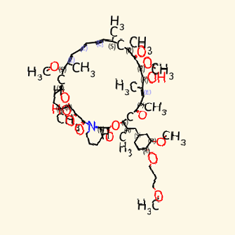 COCCCO[C@@H]1CC[C@@H](C[C@@H](C)[C@@H]2CC(=O)[C@H](C)/C=C(\C)[C@@H](O)[C@@H](OC)C(=O)[C@H](C)C[C@H](C)/C=C/C=C/C=C(\C)[C@@H](OC)C[C@@H]3CC[C@@H](C)[C@@](O)(O3)C(=O)C(=O)N3CCCC[C@H]3C(=O)O2)C[C@H]1OC